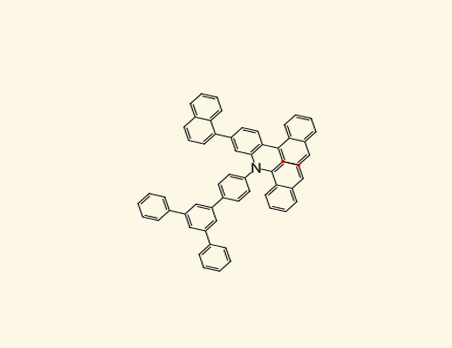 c1ccc(-c2cc(-c3ccccc3)cc(-c3ccc(N(c4cc(-c5cccc6ccccc56)ccc4-c4cccc5ccccc45)c4cccc5ccccc45)cc3)c2)cc1